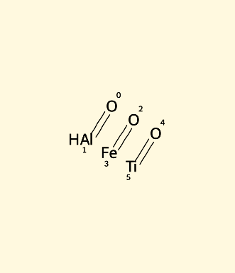 [O]=[AlH].[O]=[Fe].[O]=[Ti]